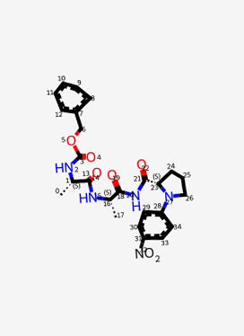 C[C@H](NC(=O)OCc1ccccc1)C(=O)N[C@@H](C)C(=O)NC(=O)[C@@H]1CCCN1c1ccc([N+](=O)[O-])cc1